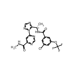 CNC(=O)c1cc(-n2ncnc2[C@H](C)NC(=O)c2cc(Cl)cc(OC(F)(F)F)c2)ncn1